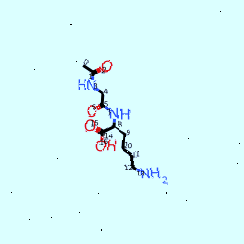 CC(=O)NCC(=O)N[C@@H](CCCCN)C(=O)O